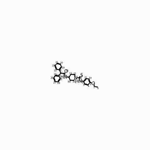 CCOc1ccc(NC(=S)N2CCC(NC(=O)C(c3ccccc3)c3ccccc3)CC2)cc1